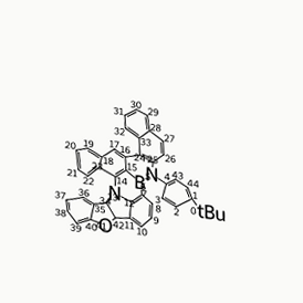 CC(C)(C)c1ccc(N2B3c4cccc5c4N(c4c3c(cc3ccccc43)-c3c2ccc2ccccc32)C2c3ccccc3OC52)cc1